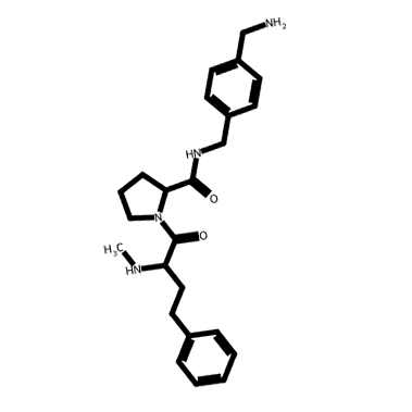 CNC(CCc1ccccc1)C(=O)N1CCCC1C(=O)NCc1ccc(CN)cc1